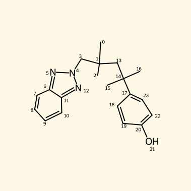 CC(C)(Cn1nc2ccccc2n1)CC(C)(C)c1ccc(O)cc1